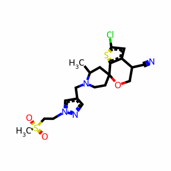 CC1CC2(CCN1Cc1cnn(CCS(C)(=O)=O)c1)OCC(C#N)c1cc(Cl)sc12